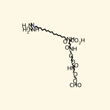 N/N=C(/CCCCCCCCCCCCCCCC(=O)N[C@@H](CCC(=O)NCCOCCOCC(=O)NCCOCCOCC=O)C(=O)O)NN